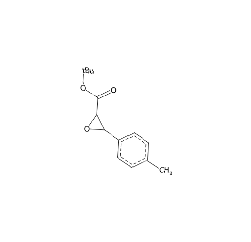 Cc1ccc(C2OC2C(=O)OC(C)(C)C)cc1